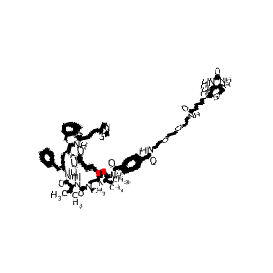 CC(C)c1nc(CN(C)C(=O)N[C@H](C(=O)N[C@@H](Cc2ccccc2)C[C@H](OC(=O)CCCCCNC(=O)c2ccc(C(=O)NCCOCCOCCNC(=O)CCCC[C@@H]3SC[C@@H]4NC(=O)N[C@@H]43)cc2)[C@H](Cc2ccccc2)NC(=O)CCc2cncs2)C(C)C)cs1